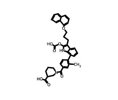 Cc1cc(C(=O)N2CCCC(C(=O)O)C2)ccc1-c1cccc2c(CCCOc3cccc4ccccc34)c(OC(=O)O)[nH]c12